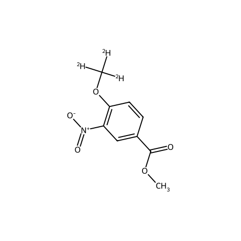 [2H]C([2H])([2H])Oc1ccc(C(=O)OC)cc1[N+](=O)[O-]